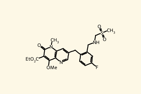 CCOC(=O)c1c(OC)c2ncc(Cc3ccc(F)cc3CNCS(C)(=O)=O)cc2n(C)c1=O